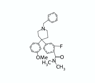 COc1cccc(C2(c3ccc(C(=O)N(C)C)c(F)c3)CCN(Cc3ccccc3)CC2)c1